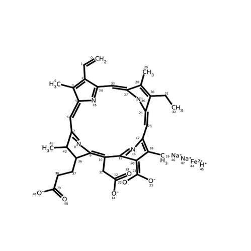 C=CC1=C(C)C2=CC3=NC(=C(CC(=O)[O-])C4=NC(=C(C)C4=C([O-])[O-])C=c4[n-]c(c(C)c4CC)=CC1=N2)C(CCC(=O)[O-])C3C.[Fe+2].[H+].[Na+].[Na+]